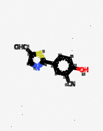 N#Cc1cc(-c2ncc(C=O)s2)ccc1O